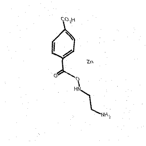 NCCNOC(=O)c1ccc(C(=O)O)cc1.[Zn]